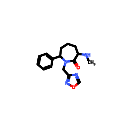 CNC1CCCC(c2ccccc2)N(Cc2ncon2)C1=O